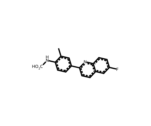 Cc1cc(-c2ccc3cc(F)ccc3n2)ccc1NC(=O)O